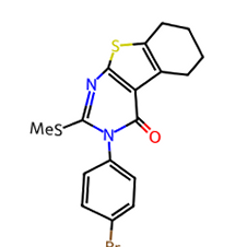 CSc1nc2sc3c(c2c(=O)n1-c1ccc(Br)cc1)CCCC3